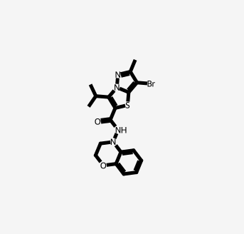 Cc1nn2c(C(C)C)c(C(=O)NN3CCOc4ccccc43)sc2c1Br